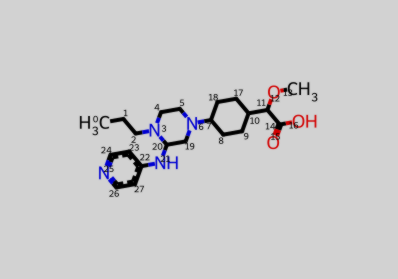 CCCN1CCN(C2CCC(C(OC)C(=O)O)CC2)CC1Nc1ccncc1